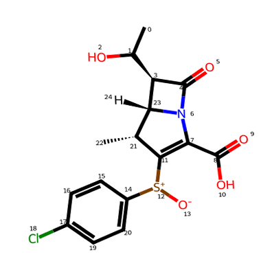 CC(O)[C@H]1C(=O)N2C(C(=O)O)=C([S+]([O-])c3ccc(Cl)cc3)[C@H](C)[C@H]12